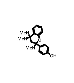 CNC1(NC)CC(NC)(c2ccc(O)cc2)Oc2ccccc21